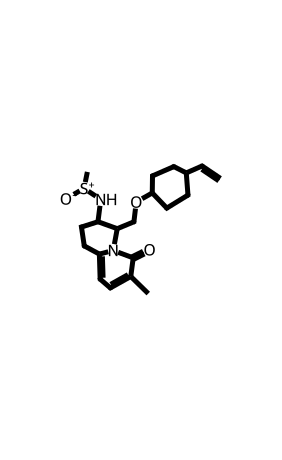 C=CC1CCC(OCC2C(N[S+](C)[O-])CCc3ccc(C)c(=O)n32)CC1